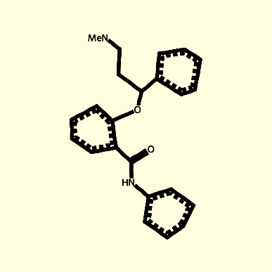 CNCCC(Oc1ccccc1C(=O)Nc1ccccc1)c1ccccc1